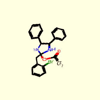 O=C(OC1(Cc2ccccc2Br)NC(c2ccccc2)C(c2ccccc2)N1)C(F)(F)F